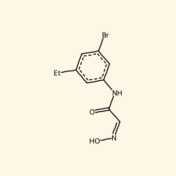 CCc1cc(Br)cc(NC(=O)/C=N\O)c1